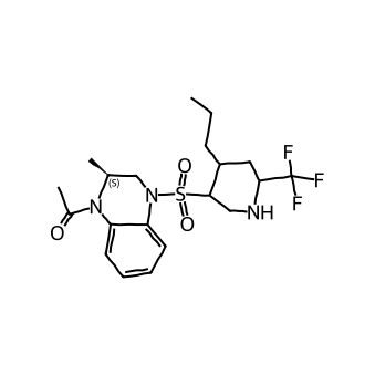 CCCC1CC(C(F)(F)F)NCC1S(=O)(=O)N1C[C@H](C)N(C(C)=O)c2ccccc21